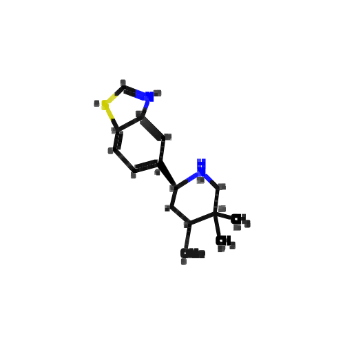 COC1C[C@@H](c2ccc3scnc3c2)NCC1(C)C